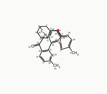 Cc1ccc(OC2CC3CCC2N(C(=O)c2ccc(C)nc2-c2ccccn2)C3)nc1